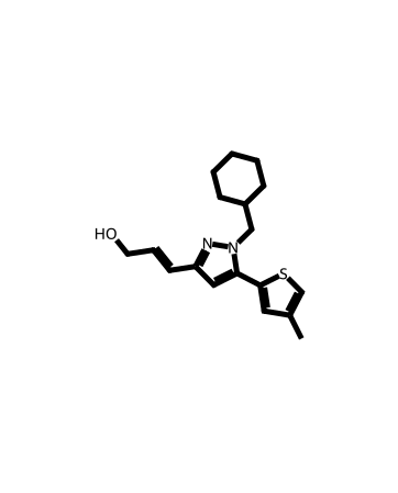 Cc1csc(-c2cc(C=CCO)nn2CC2CCCCC2)c1